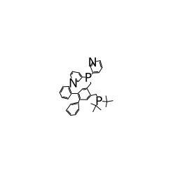 CC(C)(C)P(Cc1cc(-c2ccccc2)c(-c2ccccc2)cc1CP(c1cccnc1)c1cccnc1)C(C)(C)C